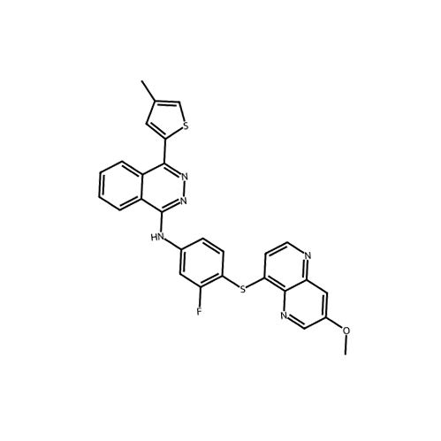 COc1cnc2c(Sc3ccc(Nc4nnc(-c5cc(C)cs5)c5ccccc45)cc3F)ccnc2c1